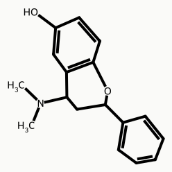 CN(C)C1CC(c2ccccc2)Oc2ccc(O)cc21